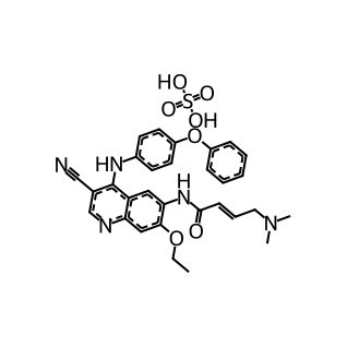 CCOc1cc2ncc(C#N)c(Nc3ccc(Oc4ccccc4)cc3)c2cc1NC(=O)/C=C/CN(C)C.O=S(=O)(O)O